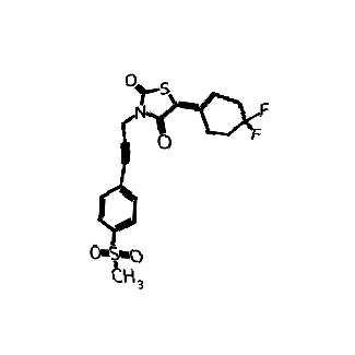 CS(=O)(=O)c1ccc(C#CCN2C(=O)SC(=C3CCC(F)(F)CC3)C2=O)cc1